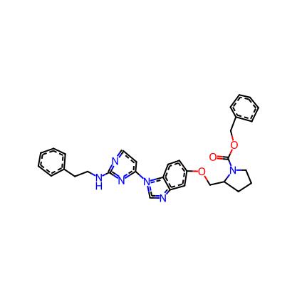 O=C(OCc1ccccc1)N1CCCC1COc1ccc2c(c1)ncn2-c1ccnc(NCCc2ccccc2)n1